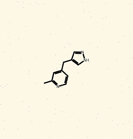 Cc1cc(Cc2cn[nH]c2)ccn1